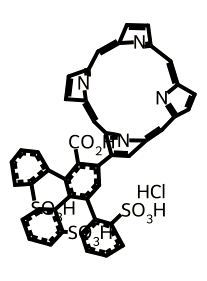 Cl.O=C(O)c1c(C2=CC3=CC4=NC(=CC5=NC(=CC6=NC(=CC2=N3)C=C6)C=C5)C=C4)cc(-c2ccccc2S(=O)(=O)O)c(-c2ccccc2S(=O)(=O)O)c1-c1ccccc1S(=O)(=O)O